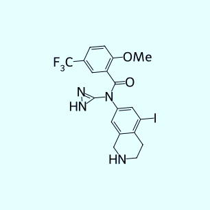 COc1ccc(C(F)(F)F)cc1C(=O)N(C1=NN1)c1cc(I)c2c(c1)CNCC2